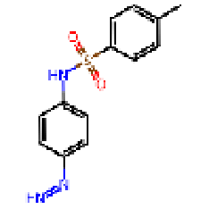 Cc1ccc(S(=O)(=O)Nc2ccc(N=N)cc2)cc1